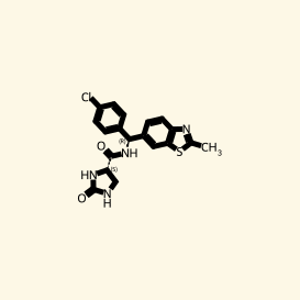 Cc1nc2ccc([C@H](NC(=O)[C@@H]3CNC(=O)N3)c3ccc(Cl)cc3)cc2s1